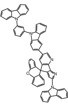 c1cc(-n2c3ccccc3c3ccccc32)cc(-n2c3ccccc3c3cc(-c4cnc5c(c4)C4(c6ccccc6Oc6ccccc64)c4cc(-n6c7ccccc7c7ccccc76)cnc4-5)ccc32)c1